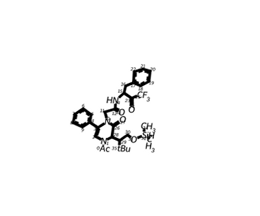 CC(=O)N1C=C(c2ccccc2)N(CC(=O)NC(Cc2ccccc2)C(=O)C(F)(F)F)C(=O)C1C(CO[SiH](C)C)C(C)(C)C